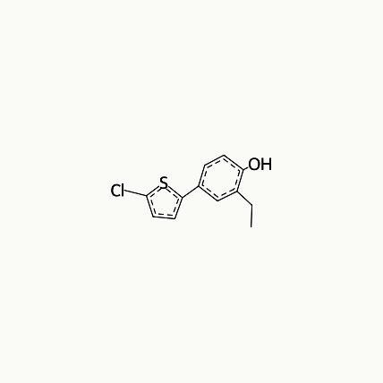 CCc1cc(-c2ccc(Cl)s2)ccc1O